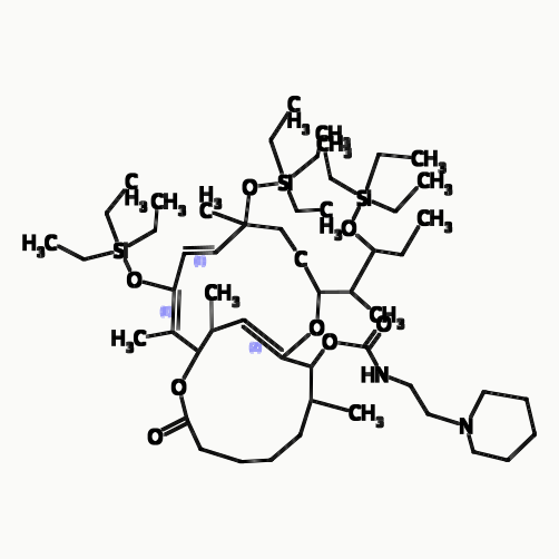 CCC(O[Si](CC)(CC)CC)C(C)C1CCC(C)(O[Si](CC)(CC)CC)/C=C/C(O[Si](CC)(CC)CC)=C(/C)C2OC(=O)CCCCC(C)C(OC(=O)NCCN3CCCCC3)/C(=C/C2C)O1